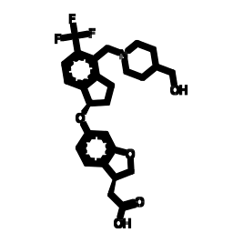 O=C(O)C[C@@H]1COc2cc(O[C@@H]3CCc4c3ccc(C(F)(F)F)c4CN3CCC(CO)CC3)ccc21